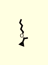 CCCCCOC(C)C1=CC1